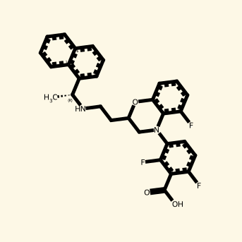 C[C@@H](NCCC1CN(c2ccc(F)c(C(=O)O)c2F)c2c(F)cccc2O1)c1cccc2ccccc12